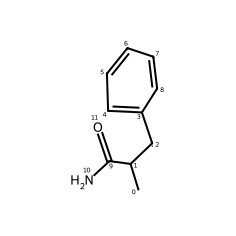 CC([CH]c1ccccc1)C(N)=O